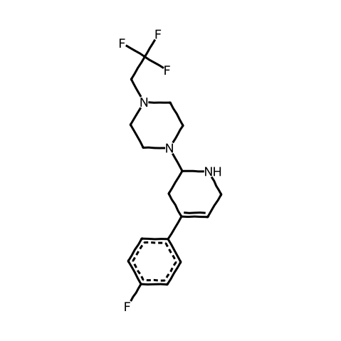 Fc1ccc(C2=CCNC(N3CCN(CC(F)(F)F)CC3)C2)cc1